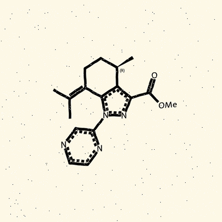 COC(=O)c1nn(-c2cnccn2)c2c1[C@H](C)CCC2=C(C)C